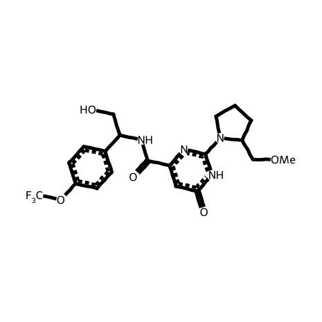 COCC1CCCN1c1nc(C(=O)NC(CO)c2ccc(OC(F)(F)F)cc2)cc(=O)[nH]1